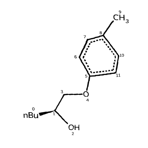 CCCC[C@H](O)COc1ccc(C)cc1